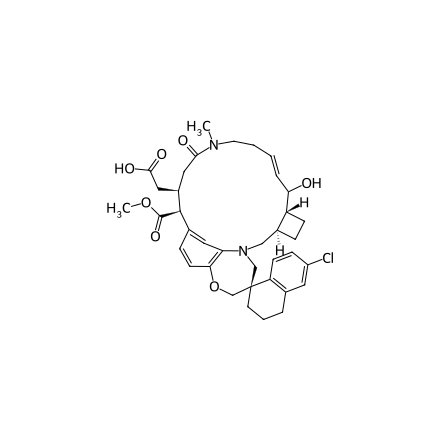 COC(=O)[C@@H]1c2ccc3c(c2)N(C[C@@H]2CC[C@H]2C(O)/C=C/CCN(C)C(=O)C[C@@H]1CC(=O)O)C[C@@]1(CCCc2cc(Cl)ccc21)CO3